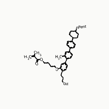 C=C(C)C(=O)OCCCCOc1cc(-c2ccc(-c3ccc(C4CCC(CCCCC)CC4)cc3)cc2C)ccc1CCCO